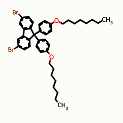 CCCCCCCCOc1ccc(C2(c3ccc(OCCCCCCCC)cc3)c3ccc(Br)cc3-c3cc(Br)ccc32)cc1